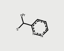 CCCC([S])c1cccnn1